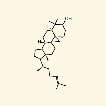 CC(C)=CCC[C@@H](C)[C@H]1CC[C@@]2(C)[C@@H]3CC[C@H]4C(C)(C)[C@@H](O)CC[C@@]45C[C@@]35CC[C@]12C